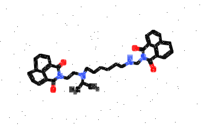 CC(C)N(CCCCCCNCN1C(=O)c2cccc3cccc(c23)C1=O)CCN1C(=O)c2cccc3cccc(c23)C1=O